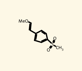 COC=Cc1ccc(S(C)(=O)=O)cc1